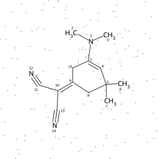 CN(C)C1=CC(C)(C)CC(=C(C#N)C#N)C1